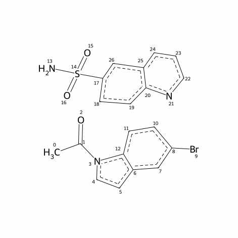 CC(=O)n1ccc2cc(Br)ccc21.NS(=O)(=O)c1ccc2ncccc2c1